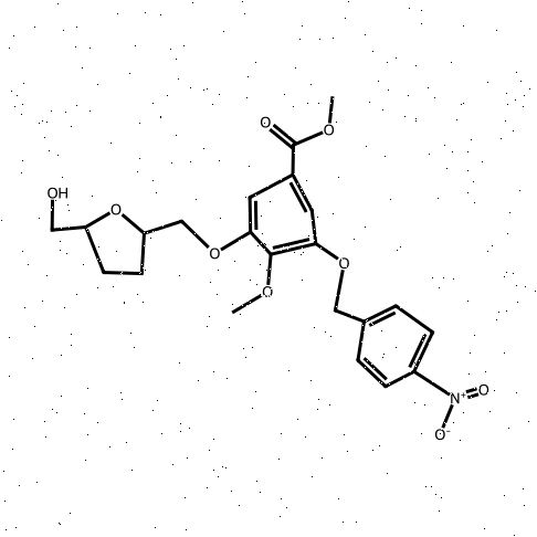 COC(=O)c1cc(OCc2ccc([N+](=O)[O-])cc2)c(OC)c(OCC2CCC(CO)O2)c1